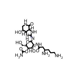 NCCCC(N)CC(=O)N[C@@H]1[C@H](O)[C@@H](OC(N)=O)[C@@H](CO)O[C@H]1/N=C1\N[C@@H]2[C@H](O)CNC(=O)[C@H]2N1